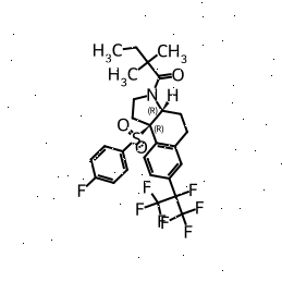 CCC(C)(C)C(=O)N1CC[C@@]2(S(=O)(=O)c3ccc(F)cc3)c3ccc(C(F)(C(F)(F)F)C(F)(F)F)cc3CC[C@@H]12